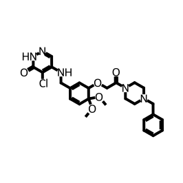 COC1(OC)C=CC(CNc2cn[nH]c(=O)c2Cl)=CC1OCC(=O)N1CCN(Cc2ccccc2)CC1